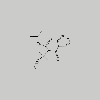 CC(C)OC(=O)C(C(=O)c1ccccc1)C(C)(C)C#N